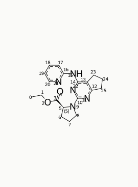 CCOC(=O)[C@@H]1CCCN1c1nc2c(c(Nc3ccccn3)n1)CCC2